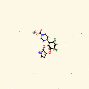 CC(C)(C)OC(=O)N1CCN(c2cc(OC3CCNC3=O)c(F)cc2F)CC1